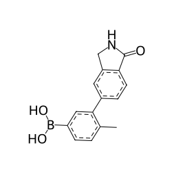 Cc1ccc(B(O)O)cc1-c1ccc2c(c1)CNC2=O